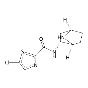 O=C(N[C@@H]1C[C@H]2CC[C@@H]1N2)c1ncc(Cl)s1